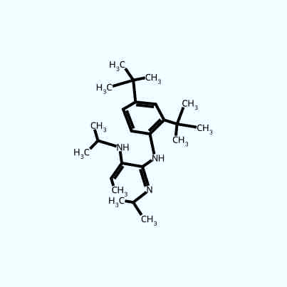 C/C=C(NC(C)C)\C(=N/C(C)C)Nc1ccc(C(C)(C)C)cc1C(C)(C)C